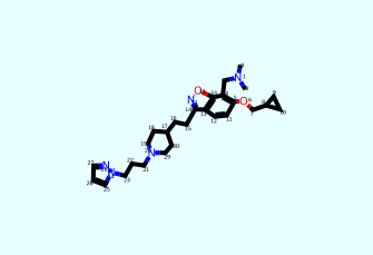 CN(C)Cc1c(OCC2CC2)ccc2c(CCC3CCN(CCCn4cccn4)CC3)noc12